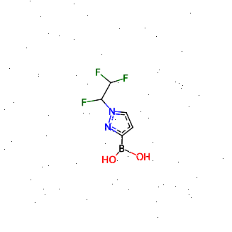 OB(O)c1ccn(C(F)C(F)F)n1